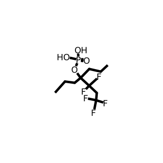 CCCC(CCC)(OP(=O)(O)O)C(F)(F)CC(F)(F)F